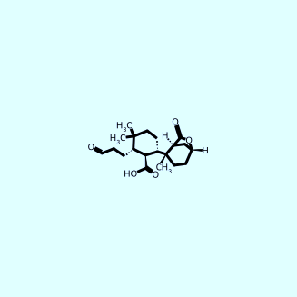 CC1(C)CC[C@H]([C@@]2(C)CC[C@@H]3C[C@@H]2C(=O)O3)[C@@H](C(=O)O)[C@@H]1CCC=O